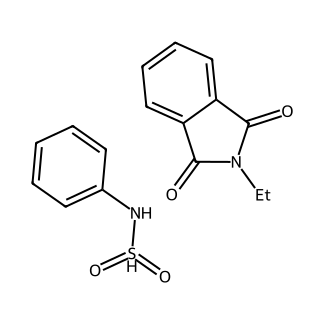 CCN1C(=O)c2ccccc2C1=O.O=[SH](=O)Nc1ccccc1